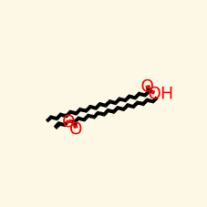 C=CCOC(=O)CCCCCCCCCCCCCCCCC.CCCCCCCCCCCCCCCCCCCCCC(=O)O